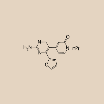 CCCn1ccc(-c2cnc(N)nc2-c2ccco2)cc1=O